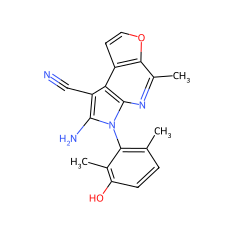 Cc1ccc(O)c(C)c1-n1c(N)c(C#N)c2c3ccoc3c(C)nc21